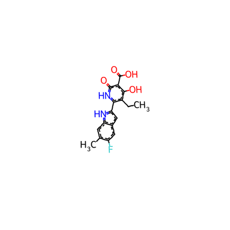 CCc1c(-c2cc3cc(F)c(C)cc3[nH]2)[nH]c(=O)c(C(=O)O)c1O